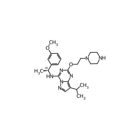 COc1cccc([C@H](C)Nc2nc(OCCN3CCNCC3)nc3c(C(C)C)cnn23)c1